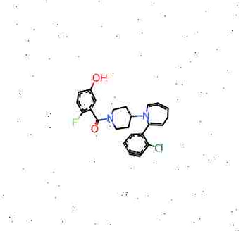 O=C(c1cc(O)ccc1F)N1CCC(N2C=C=CCC=C2c2ccc#cc2Cl)CC1